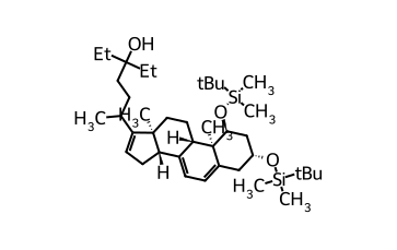 CCC(O)(CC)CCC(C)C1=CC[C@H]2C3=CC=C4C[C@@H](O[Si](C)(C)C(C)(C)C)C[C@H](O[Si](C)(C)C(C)(C)C)[C@]4(C)[C@H]3CC[C@]12C